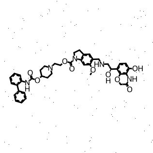 COc1cc2c(cc1CNC[C@H](O)c1ccc(O)c3c1OCC(=O)N3)CCN2C(=O)OCCN1CCC(OC(=O)Nc2ccccc2-c2ccccc2)CC1